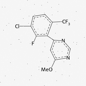 COc1cc(-c2c(C(F)(F)F)ccc(Cl)c2F)ncn1